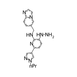 CCCn1cc(-c2ccc(NN)c(NCc3ccc4nccn4c3)n2)cn1